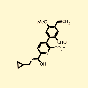 C=Cc1cc(C=O)c(-c2ccc(C(O)NCC3CC3)nc2C(=O)O)cc1OC